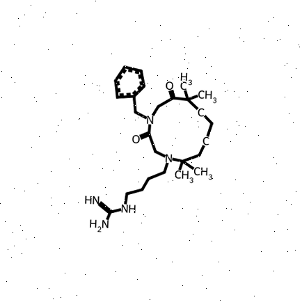 CC1(C)CCCCC(C)(C)N(CCCCNC(=N)N)CC(=O)N(Cc2ccccc2)CC1=O